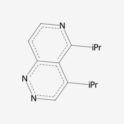 CC(C)c1cnnc2ccnc(C(C)C)c12